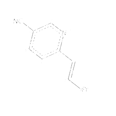 CC(C)/C=C/c1ccc(C#N)cn1